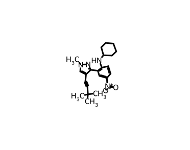 Cn1cc(C#CC(C)(C)C)c(-c2cc([N+](=O)[O-])ccc2NC2CCCCC2)n1